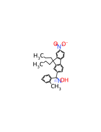 CCCC1(CCC)c2cc(/C(=N\O)c3ccccc3C)ccc2-c2ccc([N+](=O)[O-])cc21